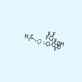 CCCC[C@H]1CC[C@H](CCc2ccc(-c3cc(F)c(C(=O)O)c(F)c3-c3cc(F)c(F)c(F)c3)cc2)CC1